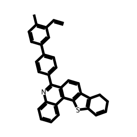 C=Cc1cc(-c2ccc(-c3nc4ccccc4c4c3ccc3c5c(sc34)C=CCC5)cc2)ccc1C